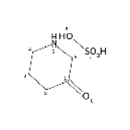 O=C1CCCNC1.O=S(=O)(O)O